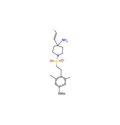 CC=CC1(N)CCN(S(=O)(=O)CCc2c(C)cc(NC)cc2C)CC1